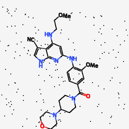 COCCNc1cc(Nc2ccc(C(=O)N3CCC(N4CCOCC4)CC3)cc2OC)nc2[nH]cc(C#N)c12